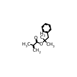 C=C(C)C(=O)OC(C)(C)Cc1ccccc1